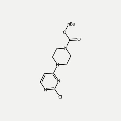 CCCCOC(=O)N1CCN(c2ccnc(Cl)n2)CC1